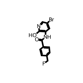 O=C(Nc1cc(Br)cnc1O)c1ccc(CF)cc1